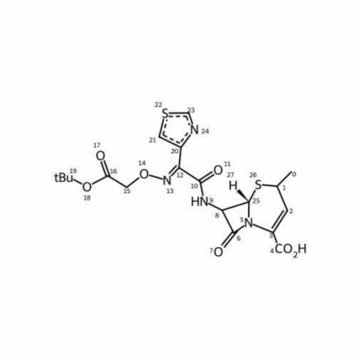 CC1C=C(C(=O)O)N2C(=O)C(NC(=O)C(=NOCC(=O)OC(C)(C)C)c3cscn3)[C@@H]2S1